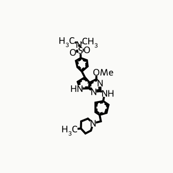 COc1nc(Nc2ccc(CN3CCC(C)CC3)cc2)nc2[nH]cc(-c3ccc(S(=O)(=O)N(C)C)cc3)c12